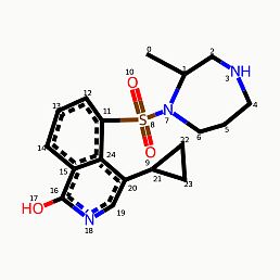 CC1CNCCCN1S(=O)(=O)c1cccc2c(O)ncc(C3CC3)c12